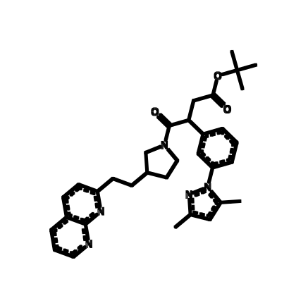 Cc1cc(C)n(-c2cccc(C(CC(=O)OC(C)(C)C)C(=O)N3CCC(CCc4ccc5cccnc5n4)C3)c2)n1